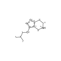 CC(C)COc1noc2c1CNCC2